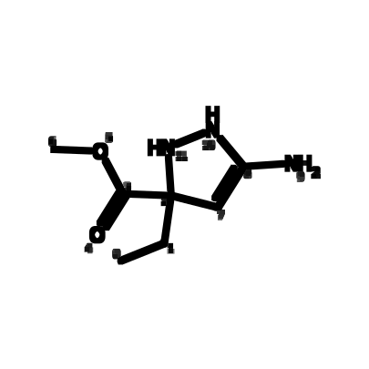 CCC1(C(=O)OC)C=C(N)NN1